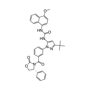 COc1ccc(NC(=O)Nc2cc(C(C)(C)C)nn2-c2cccc(C(=O)N3C(=O)OC[C@H]3c3ccccc3)c2)c2ccccc12